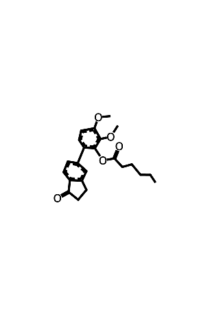 CCCCCC(=O)Oc1c(-c2ccc3c(c2)CCC3=O)ccc(OC)c1OC